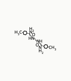 Cc1ccc(C(N)=CC(=O)NCCNC(=O)C=C(N)c2ccc(C)cc2)cc1